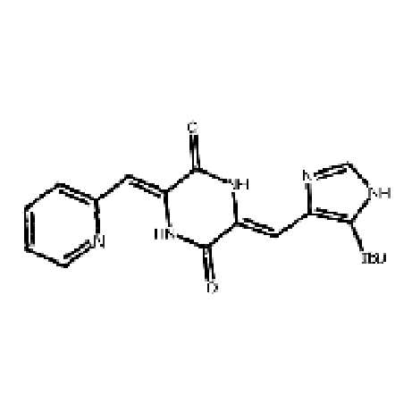 CC(C)(C)c1[nH]cnc1/C=c1\[nH]c(=O)/c(=C/c2ccccn2)[nH]c1=O